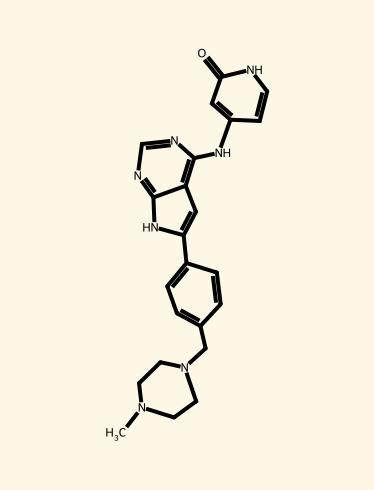 CN1CCN(Cc2ccc(-c3cc4c(Nc5cc[nH]c(=O)c5)ncnc4[nH]3)cc2)CC1